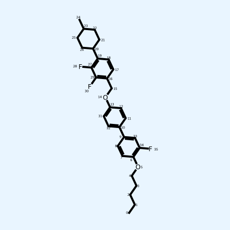 CCCCCOc1ccc(-c2ccc(OCc3ccc(C4CCC(C)CC4)c(F)c3F)cc2)cc1F